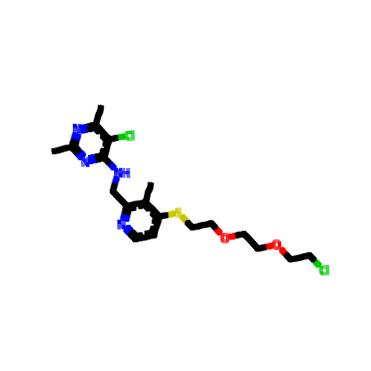 Cc1nc(C)c(Cl)c(NCc2nccc(SCCOCCOCCCl)c2C)n1